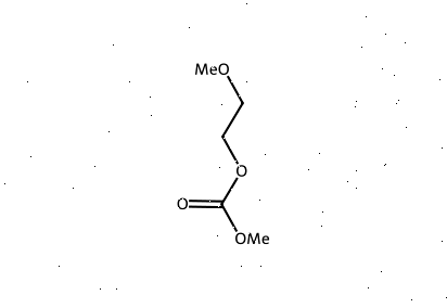 COCCOC(=O)OC